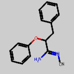 N#CN=C(N)C(Cc1ccccc1)Oc1ccccc1